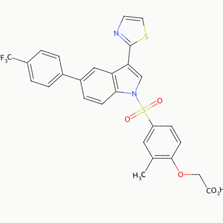 Cc1cc(S(=O)(=O)n2cc(-c3nccs3)c3cc(-c4ccc(C(F)(F)F)cc4)ccc32)ccc1OCC(=O)O